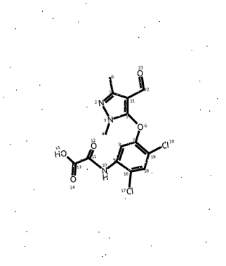 Cc1nn(C)c(Oc2cc(NC(=O)C(=O)O)c(Cl)cc2Cl)c1C=O